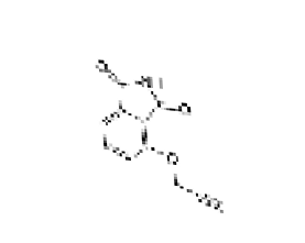 C#CCOc1cccc2c1C(=O)NC2=O